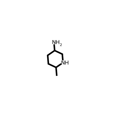 CC1CCC(N)CN1